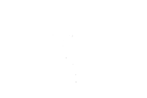 CCOC(=O)C(N)=NOC(=O)[C@H](CCCC1CCCCC1)C(C(=O)O)C(C)(C)C